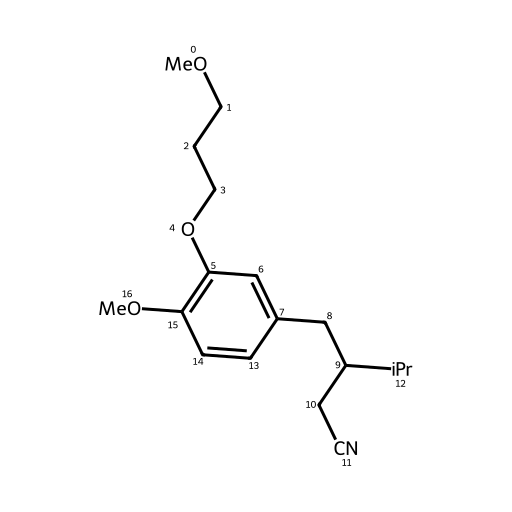 COCCCOc1cc(CC(CC#N)C(C)C)ccc1OC